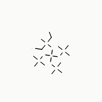 CC(C)C[Si](Cl)(CC(C)C)O[Si](O[Si](C)(C)C)(O[Si](C)(C)C)O[Si](C)(C)C